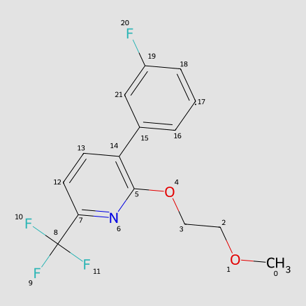 COCCOc1nc(C(F)(F)F)ccc1-c1c[c]cc(F)c1